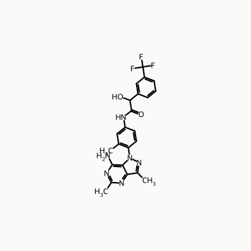 Cc1nc(N)c2c(n1)c(C)nn2-c1ccc(NC(=O)C(O)c2cccc(C(F)(F)F)c2)cc1C